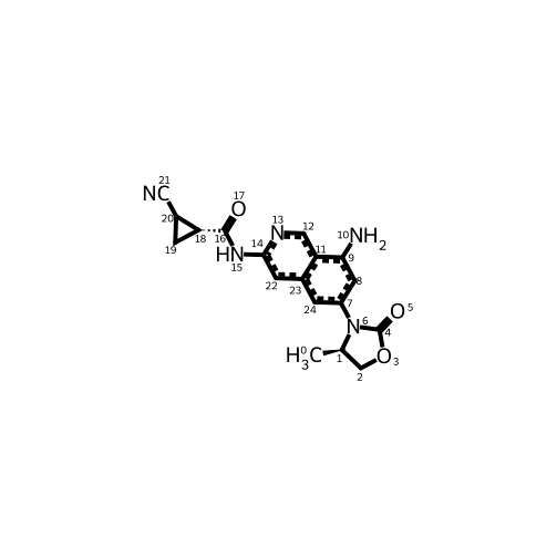 C[C@@H]1COC(=O)N1c1cc(N)c2cnc(NC(=O)[C@@H]3CC3C#N)cc2c1